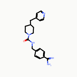 N=C(N)c1ccc(CNC(=O)N2CCC(Cc3ccncc3)CC2)cc1